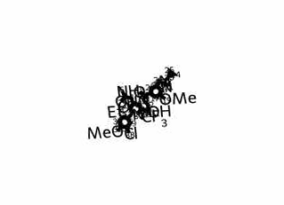 CCOc1c(CC(N)=O)cc([C@@](O)(CNC(=O)c2cc(OC)c3nn(C4CC4)cc3c2)C(F)(F)F)nc1-c1ccc(OC)c(Cl)c1